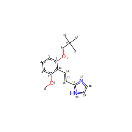 COc1cccc(OCC(C)(C)C)c1/C=C/c1ncc[nH]1